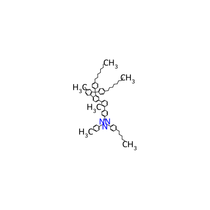 CCCCCCCCc1ccc(C2(c3ccc(CCCCCCCC)cc3)c3cc(C)ccc3-c3ccc(-c4cccc(-c5ccc(-c6nc(-c7ccc(C)cc7)nc(-c7ccc(CCCCCC)cc7)n6)cc5)c4C)cc32)cc1